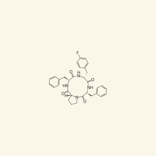 O=C1N[C@H](Cc2ccc(F)cc2)C(=O)N[C@@H](Cc2ccccc2)C(=O)N2CCC[C@@H]2C(=O)N[C@H]1Cc1ccccc1